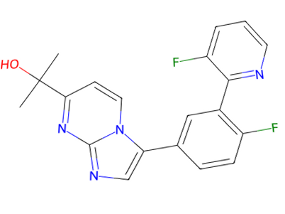 CC(C)(O)c1ccn2c(-c3ccc(F)c(-c4ncccc4F)c3)cnc2n1